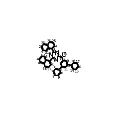 O=C(c1cc(-c2ccccc2)cc(-c2ccccc2)c1)c1nc(-c2cccc3ccccc23)nc(-c2cccc3ccccc23)n1